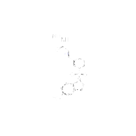 COc1ccc2c(ccn2S(=O)(=O)c2cccc(/C=C/C(=O)NO)c2)c1